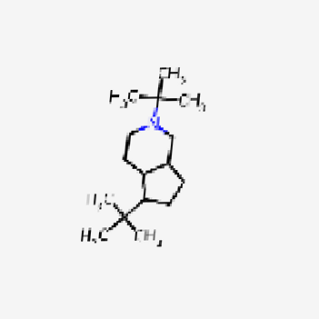 CC(C)(C)C1CCC2CN(C(C)(C)C)CCC21